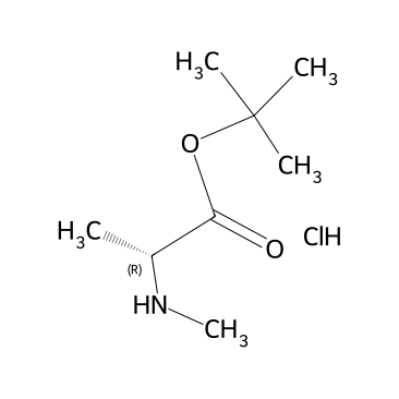 CN[C@H](C)C(=O)OC(C)(C)C.Cl